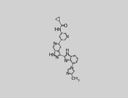 Cc1cn(-c2cccc3[nH]c(-c4n[nH]c5cnc(-c6cncc(NC(=O)C7CC7)c6)cc45)nc23)cn1